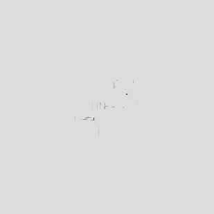 O=C(F)NSC(Cl)(Cl)Cl